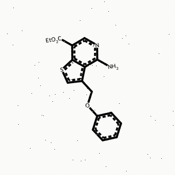 CCOC(=O)c1cnc(N)c2c(COc3ccccc3)csc12